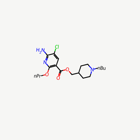 CCCCN1CCC(COC(=O)c2cc(Cl)c(N)nc2OCCC)CC1